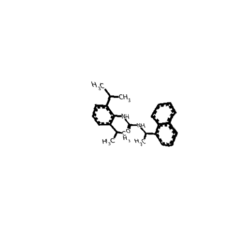 CC(C)c1cccc(C(C)C)c1NC(=O)NC(C)c1cccc2ccccc12